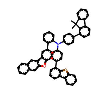 CC1(C)c2ccccc2-c2cccc(-c3ccc(N(c4ccc(-c5cccc6c5sc5ccccc56)cc4)c4ccccc4-c4ccc5oc6cc7ccccc7cc6c5c4)cc3)c21